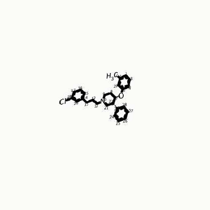 Cc1cccc(O[C@H]2CCN(CCCc3cccc(Cl)c3)C[C@H]2c2ccccc2)c1